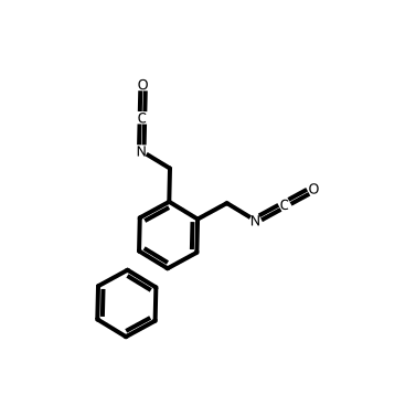 O=C=NCc1ccccc1CN=C=O.c1ccccc1